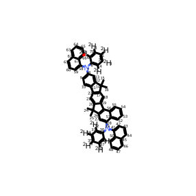 [2H]c1c([2H])c([2H])c(N(c2ccc3c(c2)C(C)(C)c2cc4c(cc2-3)C(C)(C)c2cc(N(c3c([2H])c([2H])c([2H])c([2H])c3[2H])c3cccc5ccccc35)c3ccccc3c2-4)c2cccc3ccccc23)c([2H])c1[2H]